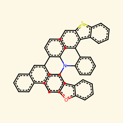 c1ccc(N(c2ccccc2-c2cccc3sc4ccccc4c23)c2cccc3oc4ccccc4c23)c(-c2cc3ccccc3c3ccccc23)c1